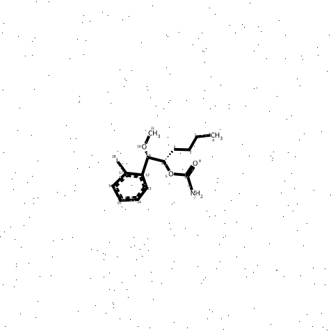 CCCC[C@H](OC(N)=O)[C@@H](OC)c1ccccc1I